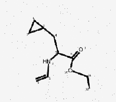 C=CNC(CC1CC1)C(=O)OCC